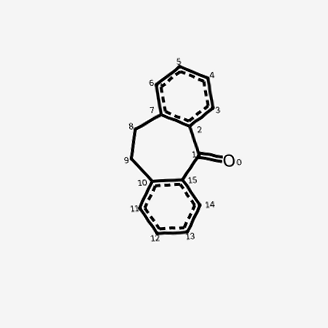 O=C1c2ccc[c]c2CCc2ccccc21